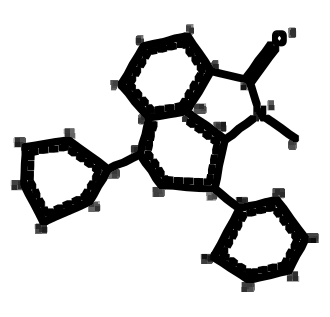 CN1C(=O)c2cccc3c(-c4ccccc4)cc(-c4ccccc4)c1c23